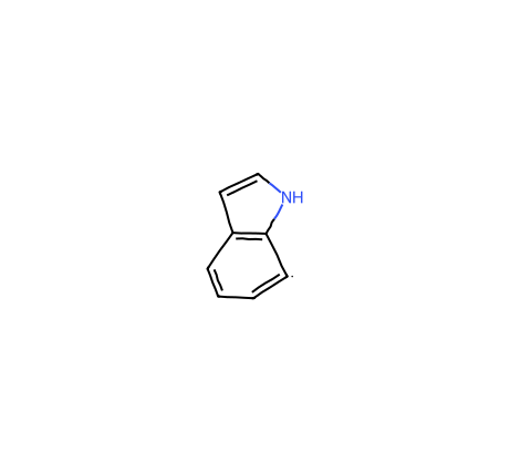 [c]1cccc2cc[nH]c12